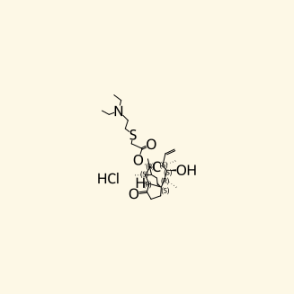 C=C[C@]1(C)C[C@@H](OC(=O)CSCCN(CC)CC)[C@@]2(C)C(C)CC[C@]3(CCC(=O)[C@H]32)[C@@H](C)[C@@H]1O.Cl